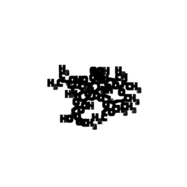 C=CC(=O)O[C@@H](CC(=O)NC1C(OCC2OC(C)C(NC(=O)C[C@H](O)C(C)C)C(OC(=O)C[C@H](O)OOC)C2O)OC(CO)C(OP(=O)(O)O)C1OC(=O)C[C@@H](C)OC(=O)PC)C(C)CC(C)C